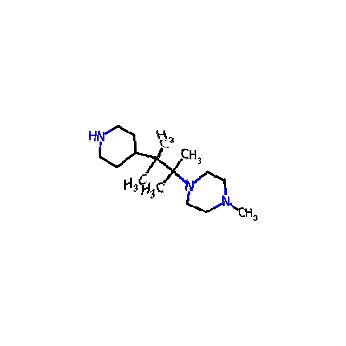 CN1CCN(C(C)(C)C(C)(C)C2CCNCC2)CC1